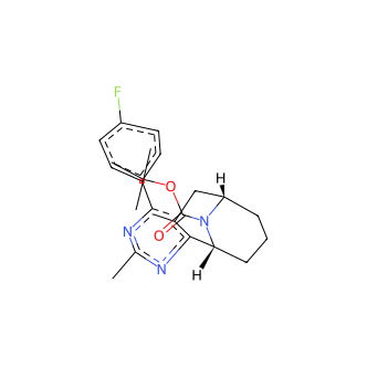 Cc1nc(-c2ccc(F)cc2)c2c(n1)[C@H]1CCC[C@@H](C2)N1C(=O)OC(C)(C)C